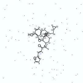 CN(C(=O)/C=C/c1ccco1)C1CCC2(C)C3Cc4ccc(O)c5c4C2(CCN3CC2CC2)C1O5